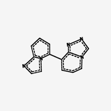 c1cc(-c2cccn3cnnc23)n2ccnc2c1